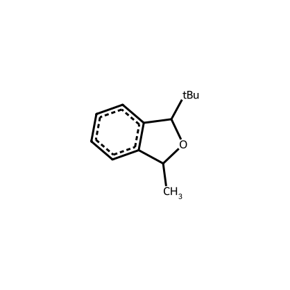 CC1OC(C(C)(C)C)c2ccccc21